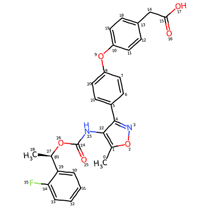 Cc1onc(-c2ccc(Oc3ccc(CC(=O)O)cc3)cc2)c1NC(=O)O[C@H](C)c1ccccc1F